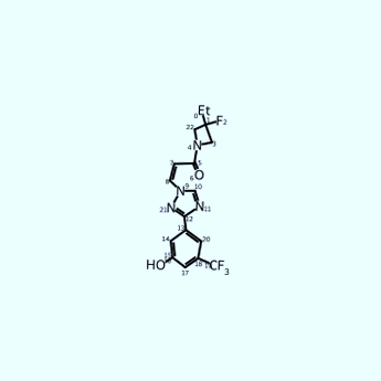 CCC1(F)CN(C(=O)/C=C\n2cnc(-c3cc(O)cc(C(F)(F)F)c3)n2)C1